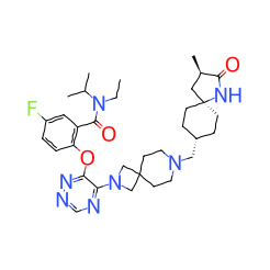 CCN(C(=O)c1cc(F)ccc1Oc1nncnc1N1CC2(CCN(C[C@H]3CC[C@]4(CC3)C[C@@H](C)C(=O)N4)CC2)C1)C(C)C